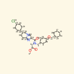 COC(=O)CN(Cc1ccc(OCc2ccccc2)cc1)C(=O)c1cn2cc(-c3ccc(Cl)cc3)ccc2n1